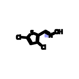 O/N=C/c1sc(Cl)cc1Cl